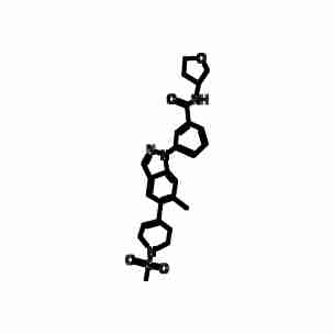 Cc1cc2c(cnn2-c2cccc(C(=O)NC3CCOC3)c2)cc1C1=CCN(S(C)(=O)=O)CC1